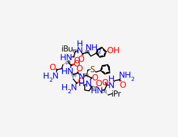 CCC(C)[C@H](NC(=O)[C@@H](N)Cc1ccc(O)cc1)C(=O)N[C@@H](CCC(N)=O)C(=O)N[C@@H](CC(N)=O)C(=O)N[C@@H](CSCc1ccccc1)C(=O)N1CCC[C@H]1C(=O)N[C@@H](CC(C)C)C(=O)NCC(N)=O